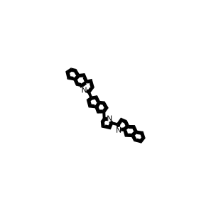 c1cc(-c2ccc3cc(-c4ccc5cc6ccccc6cc5n4)ccc3c2)nc(-c2ccc3cc4ccccc4cc3n2)c1